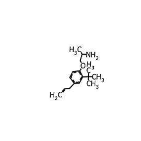 C=CCc1ccc(OCC(C)N)c(C(C)(C)C)c1